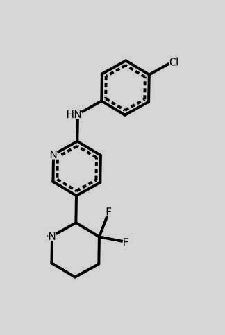 FC1(F)CCC[N]C1c1ccc(Nc2ccc(Cl)cc2)nc1